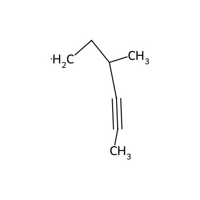 [CH2]CC(C)C#CC